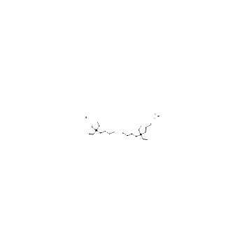 CCC(CC)(CCCCOCCCCC(CC)(CC)COP(=O)(O)O)CCCOP(=O)(O)O